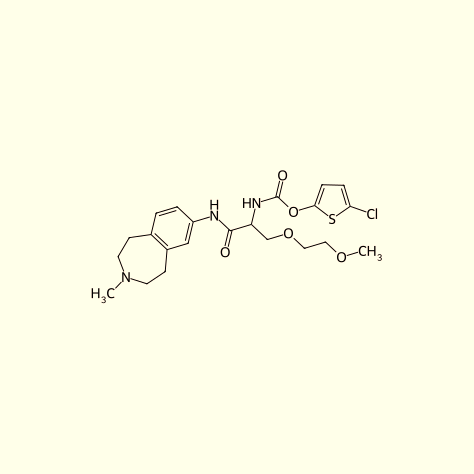 COCCOCC(NC(=O)Oc1ccc(Cl)s1)C(=O)Nc1ccc2c(c1)CCN(C)CC2